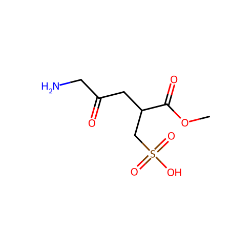 COC(=O)C(CC(=O)CN)CS(=O)(=O)O